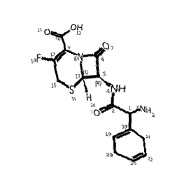 NC(C(=O)N[C@@H]1C(=O)N2C(C(=O)O)=C(F)CS[C@@H]12)C1=CCC=CC1